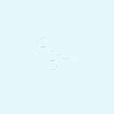 Nc1nnc(Cl)cc1OCC(CNC(=O)O)c1ccccc1